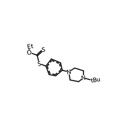 CCOC(=S)Sc1ccc(N2CCN(C(C)(C)C)CC2)cc1